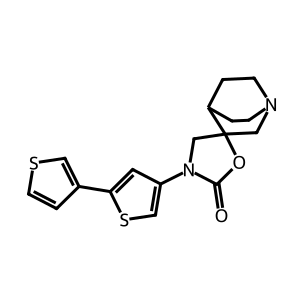 O=C1OC2(CN3CCC2CC3)CN1c1csc(-c2ccsc2)c1